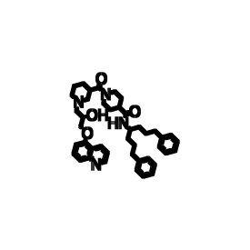 O=C(NC(CCCc1ccccc1)CCCc1ccccc1)C1CCN(C(=O)C2CCCN(C[C@@H](O)COc3cccc4ncccc34)C2)CC1